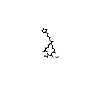 CCCCCCCC(CCCCCCC)OC(=O)CCCN(CCCC(=O)OC(C)(C)C)C(=O)SCCCN1CCCC1